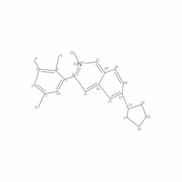 Cc1cc(C)c(C)c(-c2cc3cc(C4CCCC4)ccc3c[n+]2C)c1